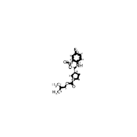 CC(C)COC(=O)N1CC[C@@H](CNc2ccc(F)cc2[N+](=O)[O-])C1